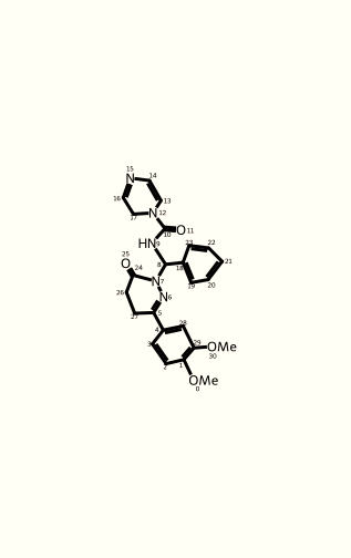 COc1ccc(C2=NN(C(NC(=O)N3C=CN=CC3)c3ccccc3)C(=O)CC2)cc1OC